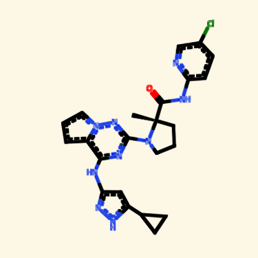 C[C@@]1(C(=O)Nc2ccc(Cl)cn2)CCCN1c1nc(Nc2cc(C3CC3)[nH]n2)c2cccn2n1